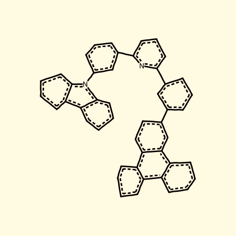 c1cc(-c2ccc3c4ccccc4c4ccccc4c3c2)cc(-c2cccc(-c3cccc(-n4c5ccccc5c5ccccc54)c3)n2)c1